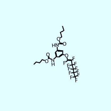 CCCCOC(=O)Nc1cc(NC(=O)OCCCC)cc(OC(F)=C(F)C(F)(F)C(F)(F)C(F)(F)C(F)(F)F)c1